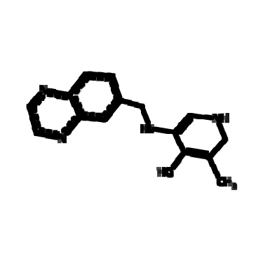 CC1=C(O)C(NCc2ccc3nccnc3c2)=CNC1